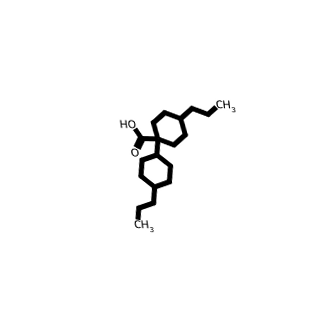 CCCC1CCC(C2(C(=O)O)CCC(CCC)CC2)CC1